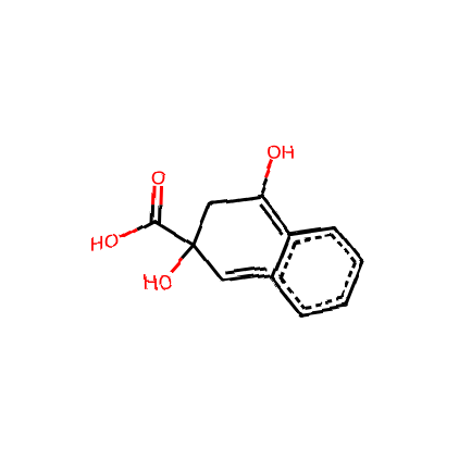 O=C(O)C1(O)C=c2ccccc2=C(O)C1